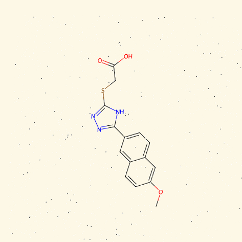 COc1ccc2cc(-c3nnc(SCC(=O)O)[nH]3)ccc2c1